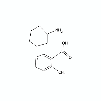 Cc1ccccc1S(=O)O.NC1CCCCC1